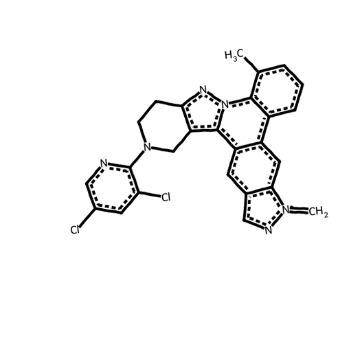 C=[n+]1ncc2cc3c(cc21)c1cccc(C)c1n1nc2c(c31)CN(c1ncc(Cl)cc1Cl)CC2